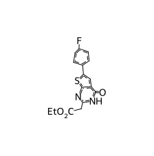 CCOC(=O)Cc1nc2sc(-c3ccc(F)cc3)cc2c(=O)[nH]1